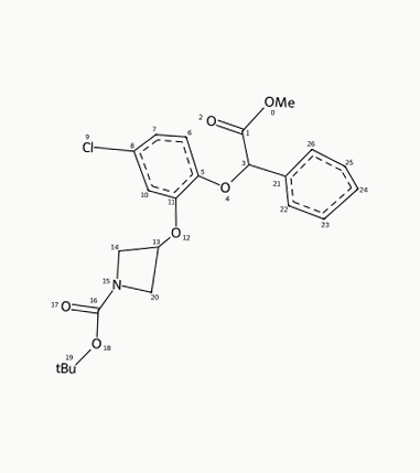 COC(=O)C(Oc1ccc(Cl)cc1OC1CN(C(=O)OC(C)(C)C)C1)c1ccccc1